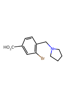 O=C(O)c1ccc(CN2CCCC2)c(Br)c1